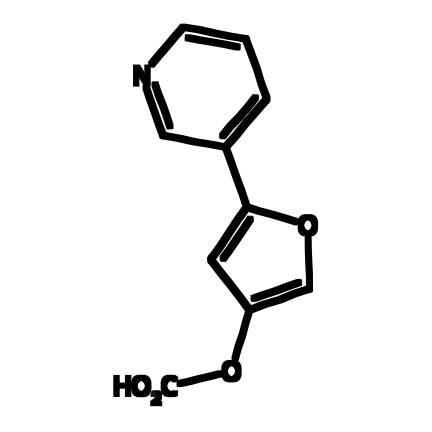 O=C(O)Oc1coc(-c2cccnc2)c1